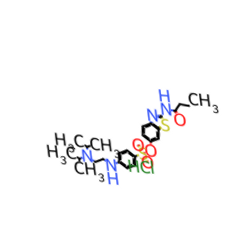 CCCC(=O)Nc1nc2ccc(OS(=O)(=O)c3ccc(NCCN(C(C)C)C(C)C)cc3)cc2s1.Cl